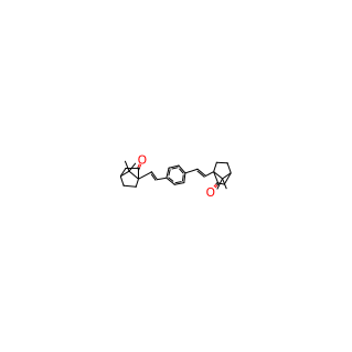 CC1(C)C2CCC1(C=Cc1ccc(C=CC34CCC(CC3=O)C4(C)C)cc1)C(=O)C2